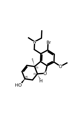 CCN(C)Cc1c(Br)cc(OC)c2c1[C@]1(C)C=C[C@H](O)C[C@@H]1O2